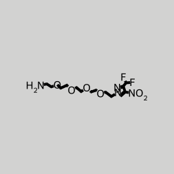 NCCOCCOCCOCCOCCn1cc([N+](=O)[O-])c(C(F)F)n1